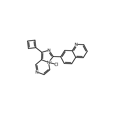 Cl[N+]12C=CN=CC1=C(C1=CC=C1)N=C2c1ccc2cccnc2c1